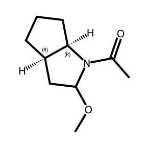 COC1C[C@H]2CCC[C@H]2N1C(C)=O